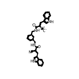 [C-]#[N+]/C(=C\c1c[nH]c2ccccc12)C(=O)NCc1cccc(CNC(=O)/C(C#N)=C/c2c[nH]c3ccccc23)c1